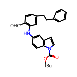 CC(C)(C)OC(=O)n1ccc2cc(Nc3cc(CCc4ccccc4)ccc3C=O)ccc21